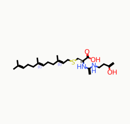 C=C(O)CCNC(=C)N[C@@H](CSC/C=C(\C)CC/C=C(\C)CCC=C(C)C)C(=O)O